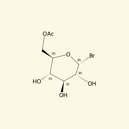 CC(=O)OC[C@H]1O[C@H](Br)[C@H](O)[C@@H](O)[C@@H]1O